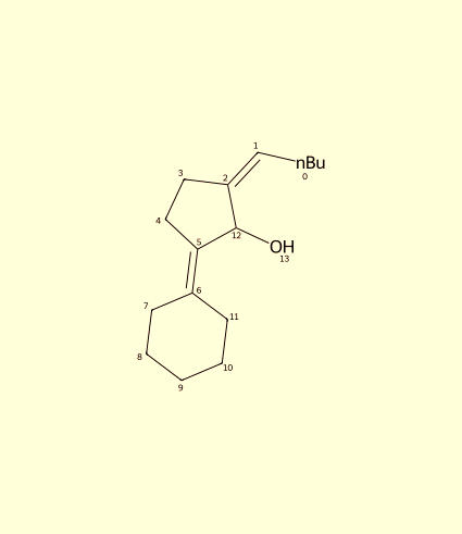 CCCC/C=C1/CCC(=C2CCCCC2)C1O